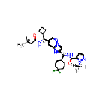 [2H]C([2H])([2H])n1nccc1C(=O)N[C@H](c1cn2ncc([C@H](NC(=O)C[C@@H](C)C(F)(F)F)C3CCC3)cc2n1)C1CCC(F)(F)CC1